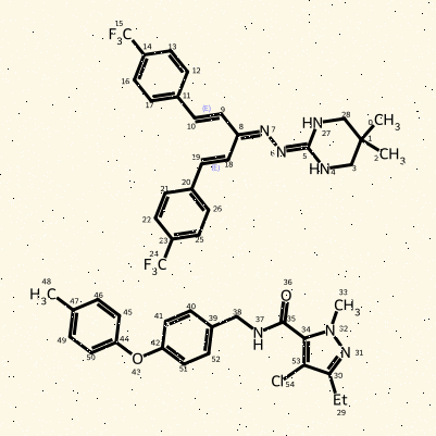 CC1(C)CNC(=NN=C(/C=C/c2ccc(C(F)(F)F)cc2)/C=C/c2ccc(C(F)(F)F)cc2)NC1.CCc1nn(C)c(C(=O)NCc2ccc(Oc3ccc(C)cc3)cc2)c1Cl